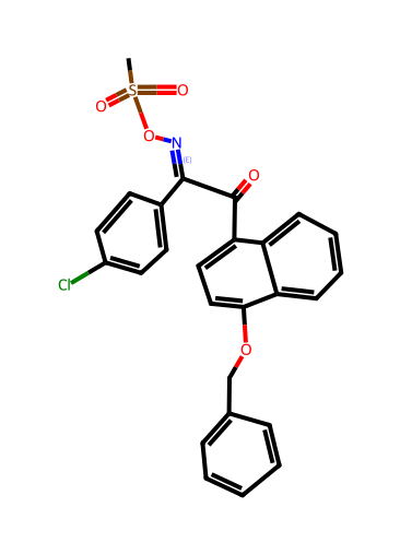 CS(=O)(=O)O/N=C(/C(=O)c1ccc(OCc2ccccc2)c2ccccc12)c1ccc(Cl)cc1